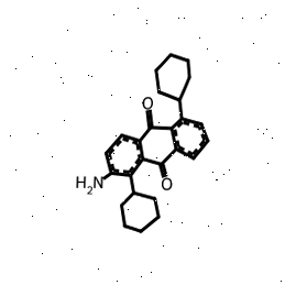 Nc1ccc2c(c1C1CCCCC1)C(=O)c1cccc(C3CCCCC3)c1C2=O